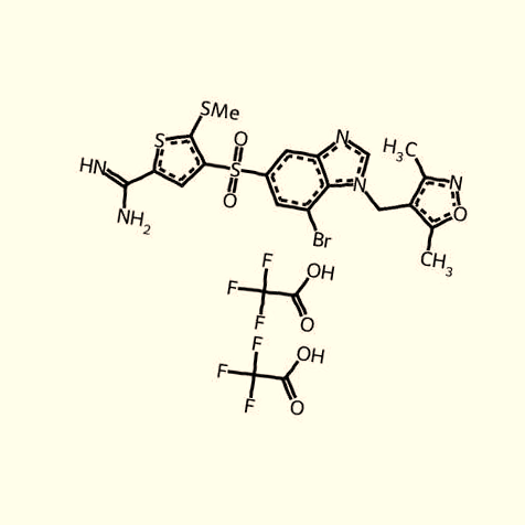 CSc1sc(C(=N)N)cc1S(=O)(=O)c1cc(Br)c2c(c1)ncn2Cc1c(C)noc1C.O=C(O)C(F)(F)F.O=C(O)C(F)(F)F